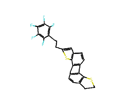 Fc1c(F)c(F)c(CCc2cc3ccc4c(c3s2)-c2ccc3c(c2-4)SCC3)c(F)c1F